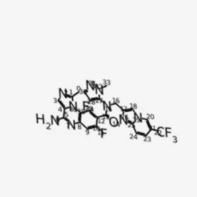 Cc1ncc2c(N)nc3cc(F)c(C(=O)N(Cc4cn5cc(C(F)(F)F)ccc5n4)c4c(F)cnn4C)cc3n12